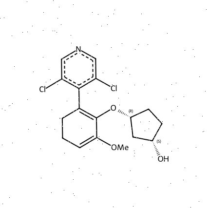 COC1=CC[CH]C(c2c(Cl)cncc2Cl)=C1O[C@@H]1CC[C@H](O)C1